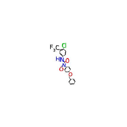 O=C(Nc1ccc(Cl)c(C(F)(F)F)c1)N1COc2cc(OCc3ccccc3)ccc21